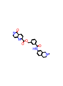 CN1CCc2ccc(NC(=O)c3cccc(COC(=O)C4=NC5=CC=NC(=O)C5C=C4)c3)cc2C1